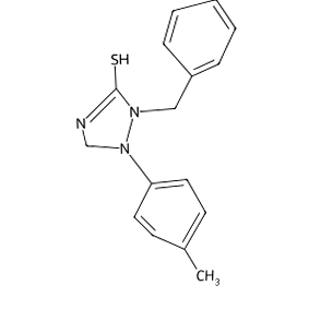 Cc1ccc(N2CN=C(S)N2Cc2ccccc2)cc1